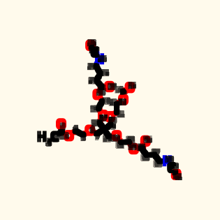 CC(=O)OCCOCC(COCCOC=O)(COCCOC(=O)CCCN=C=O)COCCOC(=O)CCCN=C=O